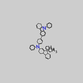 CC1(C)C2=CC(N(C3=CC=C(c4ccc5c(c4)c4c(n5-c5ccccc5)CCC=C4)CC3)c3ccccc3)CCC2C2C=CC=CC21